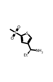 CC[C@H](N)c1csc(S(C)(=O)=O)c1